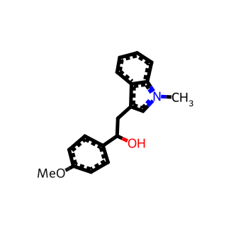 COc1ccc(C(O)Cc2cn(C)c3ccccc23)cc1